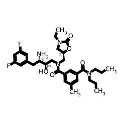 CCCN(CCC)C(=O)c1cc(C)cc(C(=O)N(C[C@H]2CN(CC)C(=O)O2)C[C@@H](O)[C@@H](N)Cc2cc(F)cc(F)c2)c1